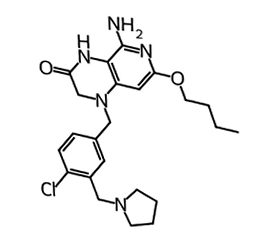 CCCCOc1cc2c(c(N)n1)NC(=O)CN2Cc1ccc(Cl)c(CN2CCCC2)c1